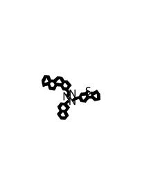 c1ccc2cc(-c3nc(-c4ccc5c(c4)sc4ccccc45)nc(-c4ccc5ccc6c7ccccc7ccc6c5c4)n3)ccc2c1